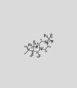 C=C(C)[C@@](F)(C(F)N1CCN(C(F)(F)F)CC1)C(F)(F)F